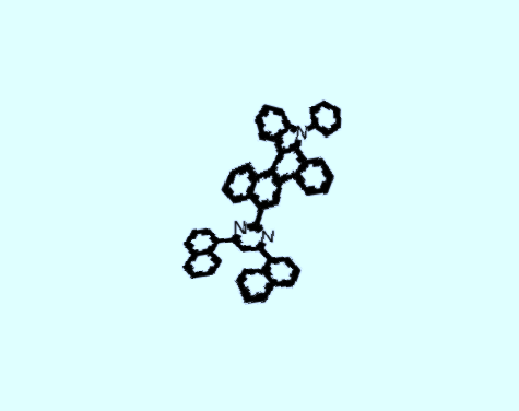 c1ccc(-n2c3ccccc3c3c4c5ccccc5c(-c5nc(-c6cccc7ccccc67)cc(-c6cccc7ccccc67)n5)cc4c4ccccc4c32)cc1